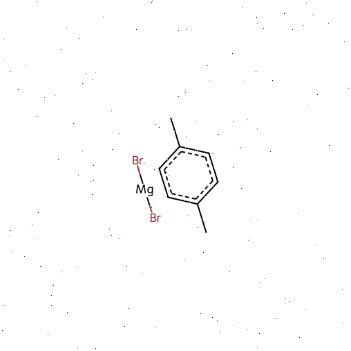 Cc1[c]cc(C)cc1.[Br][Mg][Br]